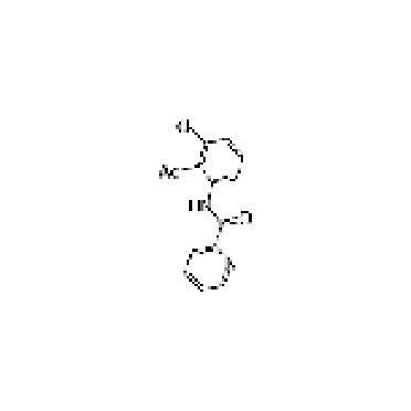 CC(=O)c1c(Cl)cccc1NC(=O)c1ccccn1